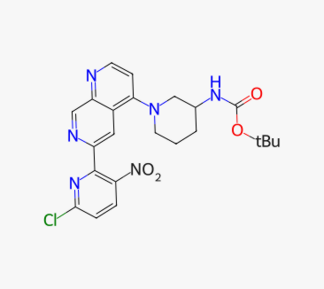 CC(C)(C)OC(=O)NC1CCCN(c2ccnc3cnc(-c4nc(Cl)ccc4[N+](=O)[O-])cc23)C1